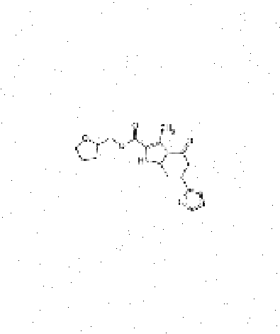 CC1=C(C(=O)OCC2CCCO2)NC2CC(c3ccco3)CC(=O)C12